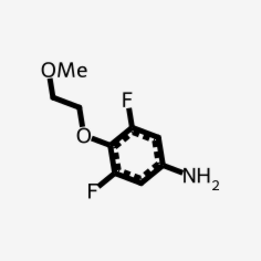 COCCOc1c(F)cc(N)cc1F